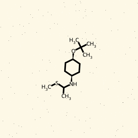 CSC(C)N[C@H]1CC[C@@H](OC(C)(C)C)CC1